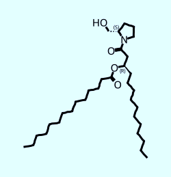 CCCCCCCCCCCCCC(=O)O[C@H](CCCCCCCCCCC)CC(=O)N1CCC[C@H]1CO